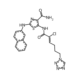 NC(=O)c1nc(Nc2ccc3ccccc3c2)sc1NC(=O)C(Cl)=CCCCn1cnnn1